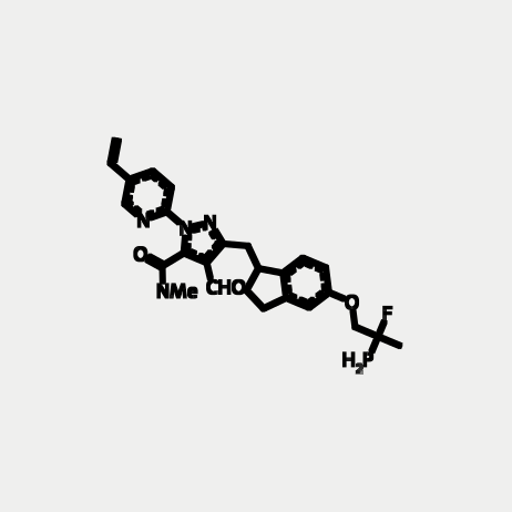 C=Cc1ccc(-n2nc(CC3CCc4cc(OCC(C)(F)P)ccc43)c(C=O)c2C(=O)NC)nc1